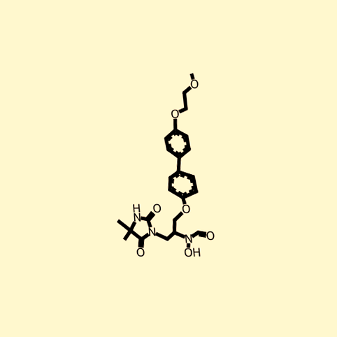 COCCOc1ccc(-c2ccc(OCC(CN3C(=O)NC(C)(C)C3=O)N(O)C=O)cc2)cc1